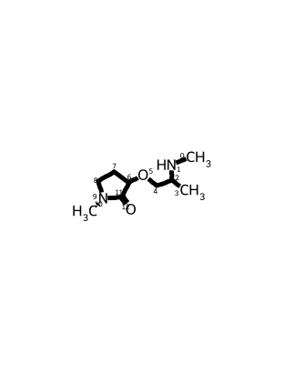 CNC(C)COC1CCN(C)C1=O